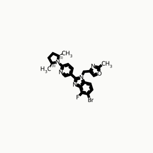 Cc1nc(Cn2c(-c3ccc(N4[C@@H](C)CC[C@@H]4C)nc3)nc3c(F)c(Br)ccc32)co1